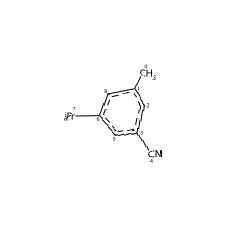 Cc1cc(C#N)cc(C(C)C)c1